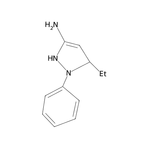 CCC1C=C(N)NN1c1ccccc1